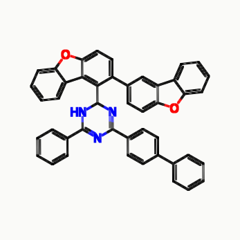 c1ccc(C2=NC(c3ccc(-c4ccccc4)cc3)=NC(c3c(-c4ccc5oc6ccccc6c5c4)ccc4oc5ccccc5c34)N2)cc1